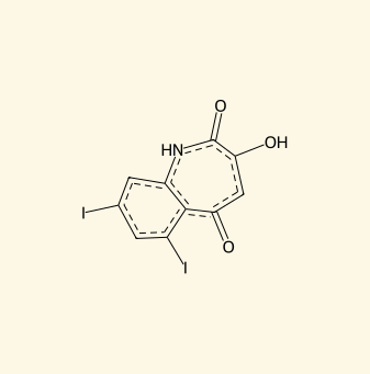 O=c1[nH]c2cc(I)cc(I)c2c(=O)cc1O